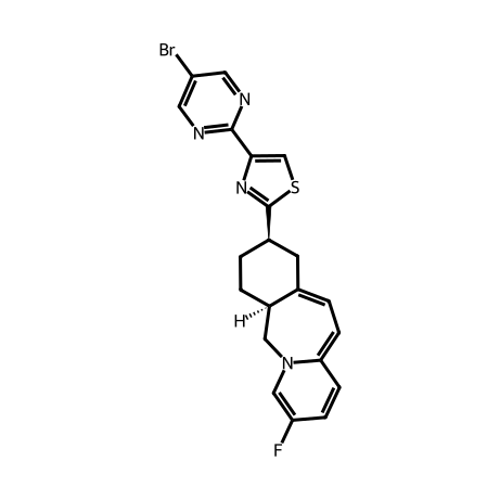 FC1=CN2C[C@H]3CC[C@@H](c4nc(-c5ncc(Br)cn5)cs4)CC3=CC=C2C=C1